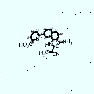 C=C(C#N)CNc1c(C(N)=O)ccc2ccc(-c3cccc(C(=O)O)n3)cc12